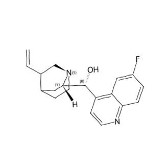 C=CC1C[N@@]2CCC1C[C@H]2[C@H](O)c1ccnc2ccc(F)cc12